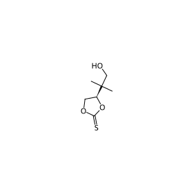 CC(C)(CO)[C@@H]1COC(=S)O1